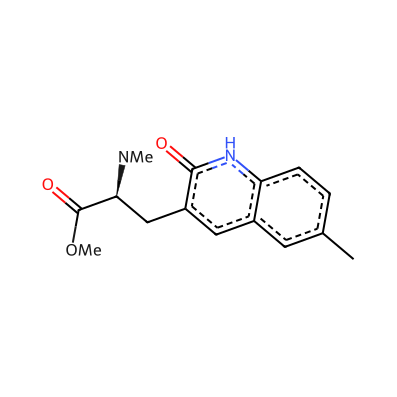 CN[C@@H](Cc1cc2cc(C)ccc2[nH]c1=O)C(=O)OC